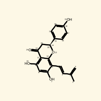 C=C(C)C=Cc1c(O)cc(O)c2c1O[C@H](c1ccc(O)cc1)CC2=O